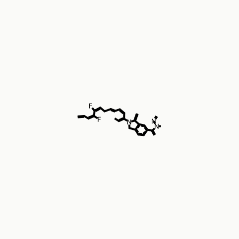 C=C/C=C(F)\C(F)=C/C/C=C/C=C\C(=C/C)N1Cc2ccc(C(=C)N(C)N=C)cc2C1=C